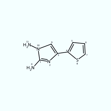 Nc1nc(-c2cccs2)cn1N